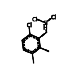 Cc1ccc(Cl)c(C[SiH](Cl)Cl)c1C